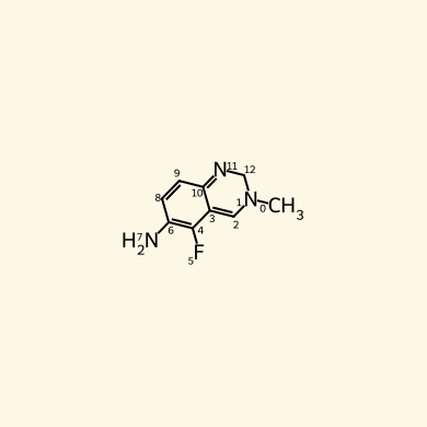 CN1C=c2c(F)c(N)ccc2=NC1